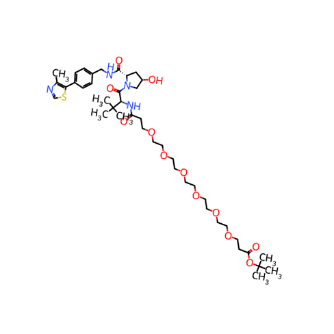 Cc1ncsc1-c1ccc(CNC(=O)[C@@H]2C[C@@H](O)CN2C(=O)[C@@H](NC(=O)CCOCCOCCOCCOCCOCCOCCC(=O)OC(C)(C)C)C(C)(C)C)cc1